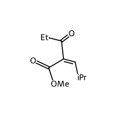 CCC(=O)C(=CC(C)C)C(=O)OC